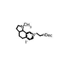 CCCCCCCCCCCC[n+]1ccc2c(c1)C1C(CC2)CCN1C.[I-]